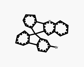 Brc1ccc2c(c1)C1(c3ccccc3-2)c2ccccc2-c2nc3ccccc3cc21